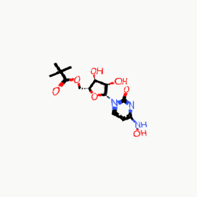 CC(C)(C)C(=O)OC[C@H]1O[C@@H](n2ccc(NO)nc2=O)[C@H](O)[C@@H]1O